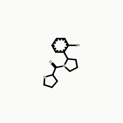 CC(C)c1ccccc1C1CCCN1C(=O)C1CCCO1